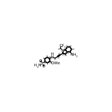 COc1cc(S(N)(=O)=O)ccc1NCC#Cc1cc2c(N)cccc2n1CC(F)(F)F